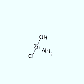 [AlH3].[OH][Zn][Cl]